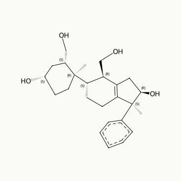 C[C@]1([C@H]2CCC3=C(C[C@@H](O)[C@@]3(C)c3ccccc3)[C@@H]2CO)CC[C@H](O)C[C@@H]1CO